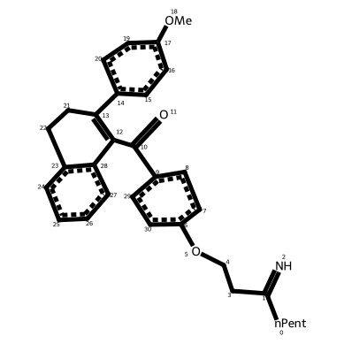 CCCCCC(=N)CCOc1ccc(C(=O)C2=C(c3ccc(OC)cc3)CCc3ccccc32)cc1